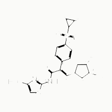 Cc1csc(NC(=O)/C(=C/[C@H]2C[C@@H](F)[C@@H](F)C2)c2ccc(S(=O)(=O)C3CC3)cc2)n1